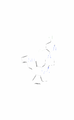 C=C(/C=C\c1[nH]ccc1F)c1c2c(nn1-c1c(C)cccc1C)CCN(c1ncc(Cl)cc1Cl)C2